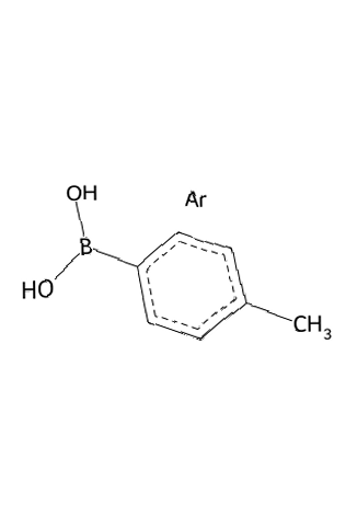 Cc1ccc(B(O)O)cc1.[Ar]